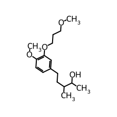 COCCCOc1cc(CCC(C)C(C)O)ccc1OC